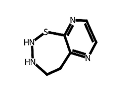 c1cnc2c(n1)CCNNS2